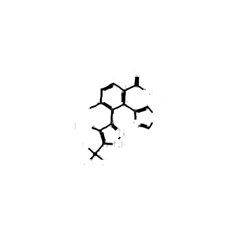 Cc1ccc(C(N)=O)c(-c2cscn2)c1-c1n[nH]c(C(F)(F)C(F)(F)F)c1C(F)(F)F